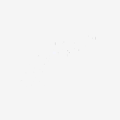 COc1ccc(NC(=O)/C=C(\C)C2Cc3cccc(OC(C)c4ccccc4)c3O2)cc1